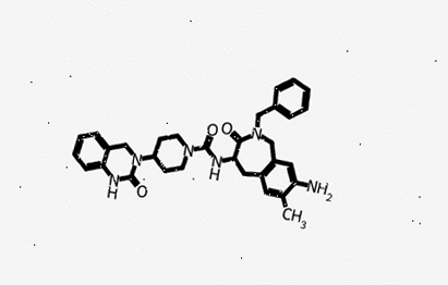 Cc1cc2c(cc1N)CN(Cc1ccccc1)C(=O)C(NC(=O)N1CCC(N3Cc4ccccc4NC3=O)CC1)C2